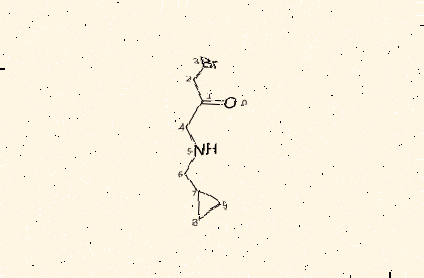 O=C(CBr)CNCC1CC1